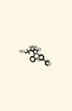 COC1=CCCC=C1C1c2c(C(C)(C)CO)n[nH]c2C(=O)N1c1ccc(-c2ccon2)cn1